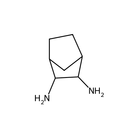 NC1C2CCC(C2)C1N